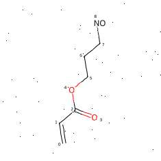 C=CC(=O)OCCCN=O